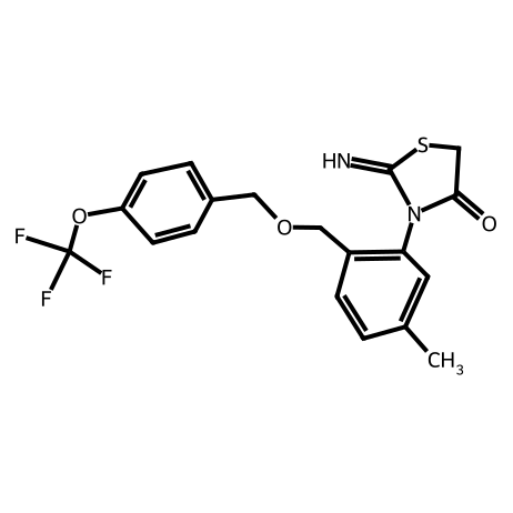 Cc1ccc(COCc2ccc(OC(F)(F)F)cc2)c(N2C(=N)SCC2=O)c1